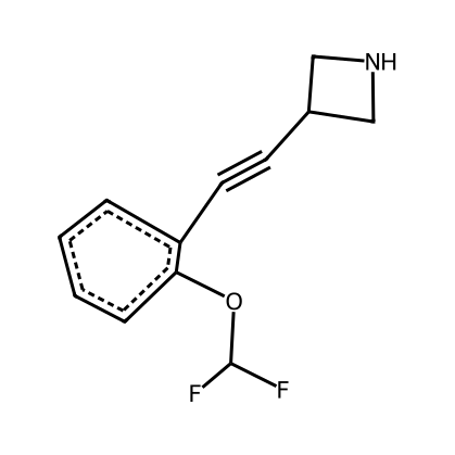 FC(F)Oc1ccccc1C#CC1CNC1